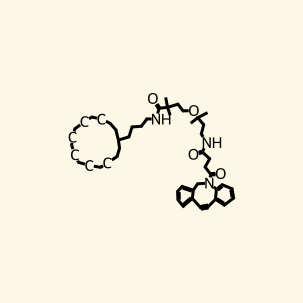 CC(C)(CCNC(=O)CCC(=O)N1Cc2ccccc2C#Cc2ccccc21)OCCC(C)(C)C(=O)NCCCCC1CCCCCCCCCCCCCCC1